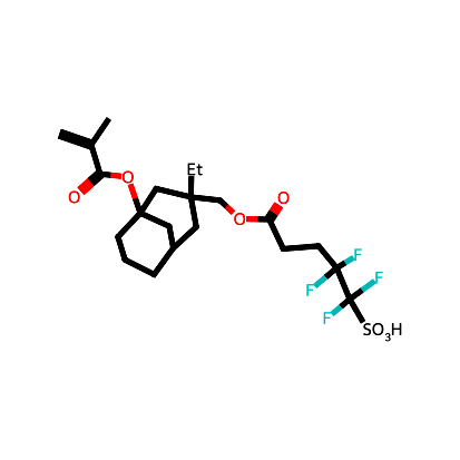 C=C(C)C(=O)OC12CCCC(CC(CC)(COC(=O)CCC(F)(F)C(F)(F)S(=O)(=O)O)C1)C2